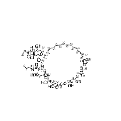 CCCNC(=O)[C@H]1[C@@H]2C[C@@H](O[C@H]3O[C@@H](C)[C@@H](O)[C@H](NC(=O)CC)[C@@H]3O)/C=C/C=C/C=C/C=C/C=C/C=C/C=C/[C@H](C)[C@@H](O)[C@@H](C)[C@H](C)OC(=O)C[C@H](O)C[C@H](O)CC[C@@H](O)[C@H](O)C[C@H](O)C[C@](O)(C[C@@H]1O)O2